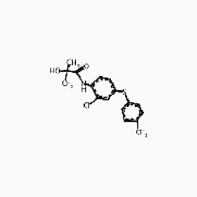 C[C@@](O)(C(=O)Nc1ccc(Sc2ccc(C(F)(F)F)cc2)cc1Cl)C(F)(F)F